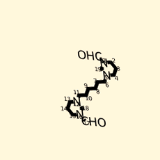 O=CN1CCCN(CCCCCCN2CCCN(C=O)C2)C1